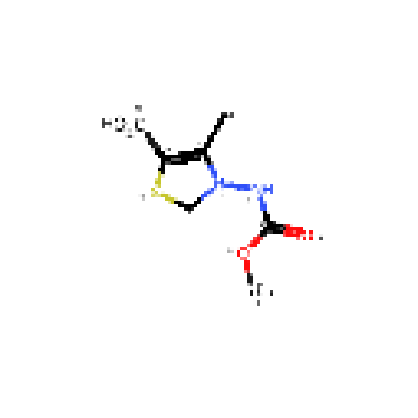 CC1=C(C(=O)O)SCN1NC(=O)OC(C)(C)C